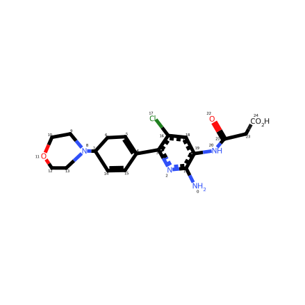 Nc1nc(C2=CCC(N3CCOCC3)C=C2)c(Cl)cc1NC(=O)CC(=O)O